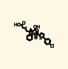 O=C(O)CSCC1(c2ccccc2)CC1(NS(=O)(=O)c1ccc(-c2ccc(Cl)cc2)s1)C(=O)O